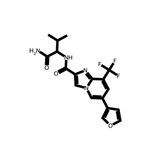 CC(C)C(NC(=O)c1cn2cc(-c3ccoc3)cc(C(F)(F)F)c2n1)C(N)=O